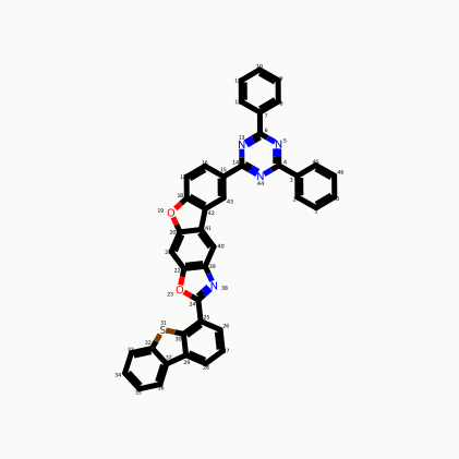 c1ccc(-c2nc(-c3ccccc3)nc(-c3ccc4oc5cc6oc(-c7cccc8c7sc7ccccc78)nc6cc5c4c3)n2)cc1